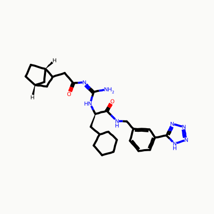 NC(=NC(=O)CC1C[C@@H]2CC[C@H]1C2)N[C@H](CC1CCCCC1)C(=O)NCc1cccc(-c2nnn[nH]2)c1